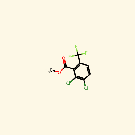 COC(=O)c1c(C(F)(F)F)ccc(Cl)c1Cl